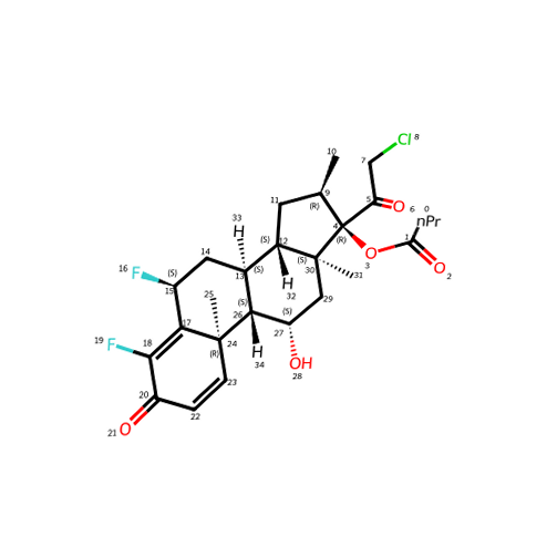 CCCC(=O)O[C@]1(C(=O)CCl)[C@H](C)C[C@H]2[C@@H]3C[C@H](F)C4=C(F)C(=O)C=C[C@]4(C)[C@H]3[C@@H](O)C[C@@]21C